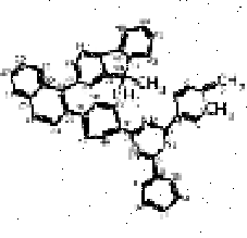 C=C/C=C\C(=C/C)c1nc(-c2ccccc2)nc(-c2ccc(-c3ccc4ccccc4c3-c3ccc4c(c3)C(C)(C)c3ccccc3-4)cc2)n1